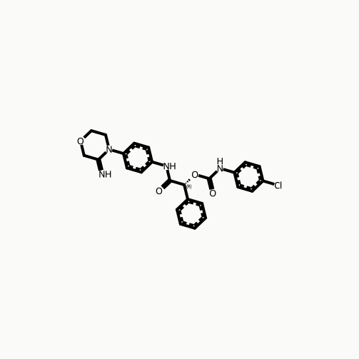 N=C1COCCN1c1ccc(NC(=O)[C@H](OC(=O)Nc2ccc(Cl)cc2)c2ccccc2)cc1